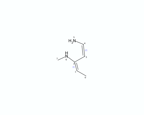 C/C=C(\C=C/N)NC